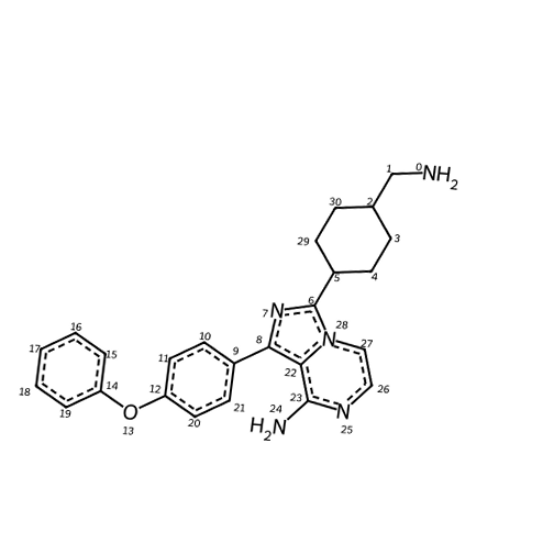 NCC1CCC(c2nc(-c3ccc(Oc4ccccc4)cc3)c3c(N)nccn23)CC1